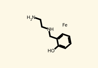 NCCNCc1ccccc1O.[Fe]